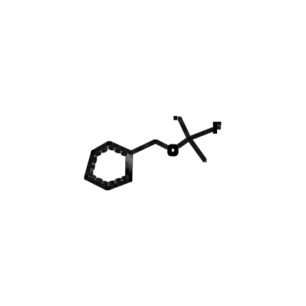 [CH2]C(C)(F)OCc1ccccc1